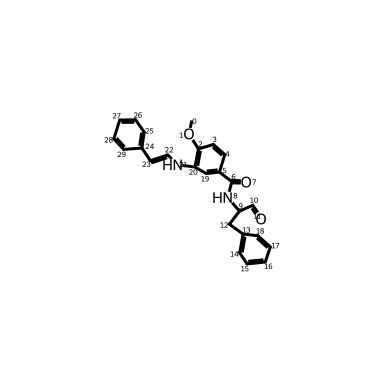 COc1ccc(C(=O)NC(C=O)Cc2ccccc2)cc1NC=Cc1ccccc1